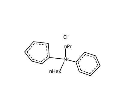 CCCCCC[N+](CCC)(c1ccccc1)c1ccccc1.[Cl-]